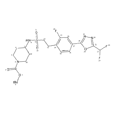 CC(C)(C)OC(=O)N1CCC(NS(=O)(=O)CCc2ccc(-c3nnc(C(F)F)o3)cc2F)CC1